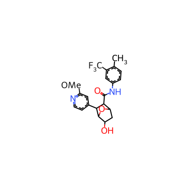 COc1cc(C2C3OC(CC3O)C2C(=O)Nc2ccc(C)c(C(F)(F)F)c2)ccn1